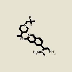 C=C(Nc1cc2cc(/C(=C/N)N(C)N)ccc2cn1)C1CCN(CC(C)(F)F)CC1